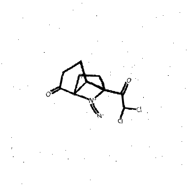 [N-]=[N+]1C23CCC1(C(=O)C(Cl)Cl)C2CCC3=O